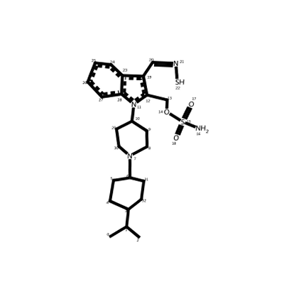 CC(C)C1CCC(N2CCC(n3c(COS(N)(=O)=O)c(/C=N\S)c4ccccc43)CC2)CC1